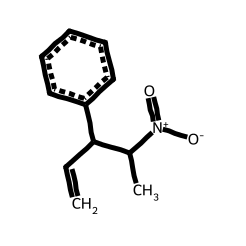 C=CC(c1ccccc1)C(C)[N+](=O)[O-]